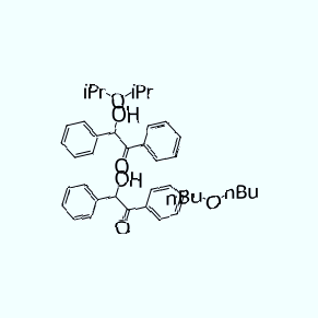 CC(C)OC(C)C.CCCCOCCCC.O=C(c1ccccc1)C(O)c1ccccc1.O=C(c1ccccc1)C(O)c1ccccc1